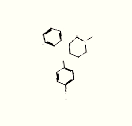 CN1CC[C@H](Oc2ccc(N)cc2)[C@H](c2ccccc2)C1